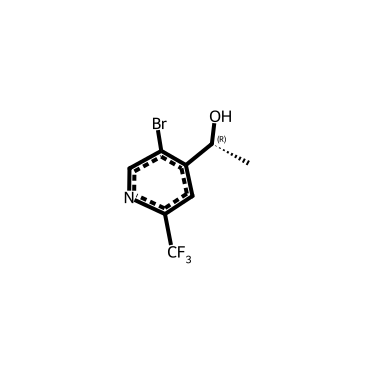 C[C@@H](O)c1cc(C(F)(F)F)ncc1Br